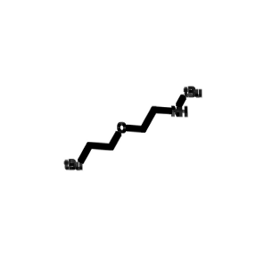 CC(C)(C)CCOCCNC(C)(C)C